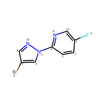 Fc1ccc(-n2cc(Br)cn2)nc1